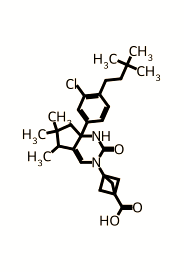 CC1C2=CN(C34CC(C(=O)O)(C3)C4)C(=O)NC2(c2ccc(CCC(C)(C)C)c(Cl)c2)CC1(C)C